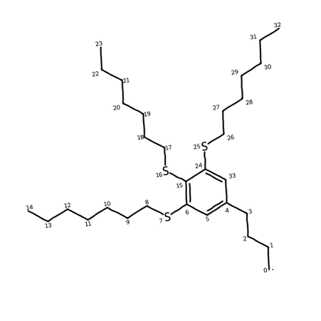 [CH2]CCCc1cc(SCCCCCCC)c(SCCCCCCC)c(SCCCCCCC)c1